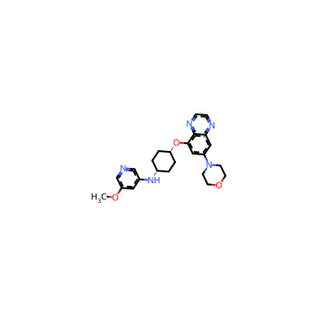 COc1cncc(N[C@H]2CC[C@@H](Oc3cc(N4CCOCC4)cc4nccnc34)CC2)c1